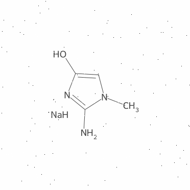 Cn1cc(O)nc1N.[NaH]